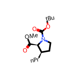 CCC[C@@H]1CCN(C(=O)OC(C)(C)C)[C@@H]1C(=O)OC